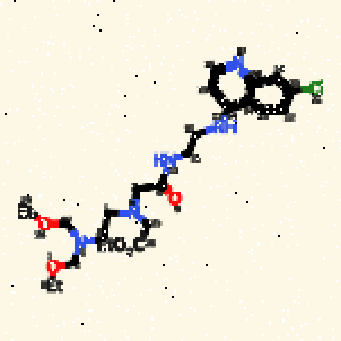 CCOCN(CCN(CC(=O)NCCNc1ccnc2cc(Cl)ccc12)CC(=O)OCC)COCC